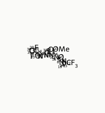 COC(=O)C1CN(C(=O)Cn2nc(C(F)(F)F)cc2C)CCN1c1nc(C2=NOC(c3c(F)cccc3F)C2)cs1